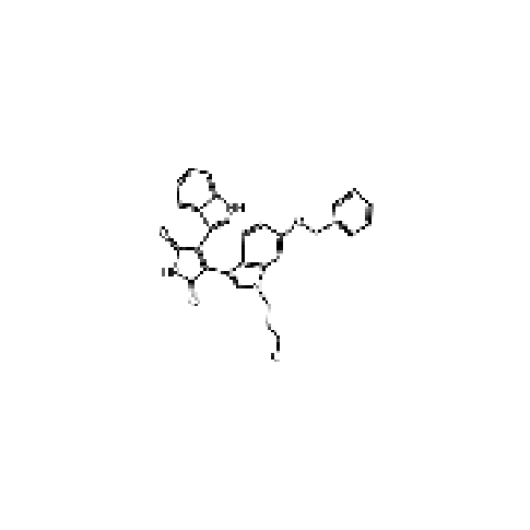 O=C1NC(=O)C(c2cn(CCCO)c3cc(OCc4ccccc4)ccc23)=C1c1c[nH]c2ccccc12